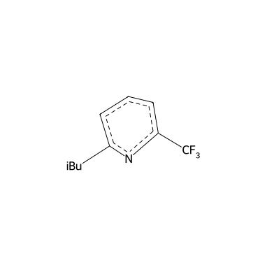 CCC(C)c1cccc(C(F)(F)F)n1